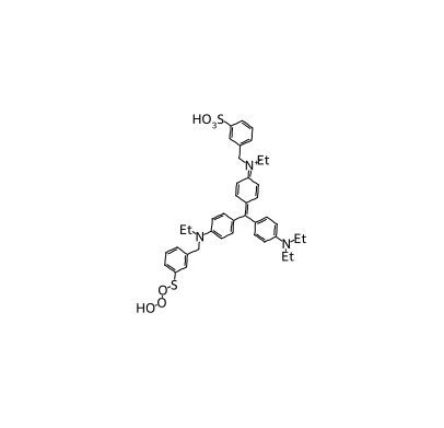 CCN(CC)c1ccc(C(=C2C=CC(=[N+](CC)Cc3cccc(S(=O)(=O)O)c3)C=C2)c2ccc(N(CC)Cc3cccc(SOOO)c3)cc2)cc1